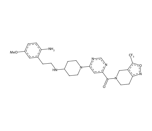 COc1ccc(N)c(CCNC2CCN(c3cc(C(=O)N4CCc5noc(C(F)(F)F)c5C4)ncn3)CC2)c1